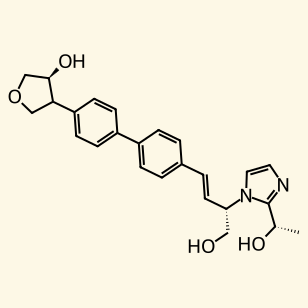 C[C@H](O)c1nccn1[C@@H](/C=C/c1ccc(-c2ccc(C3COC[C@H]3O)cc2)cc1)CO